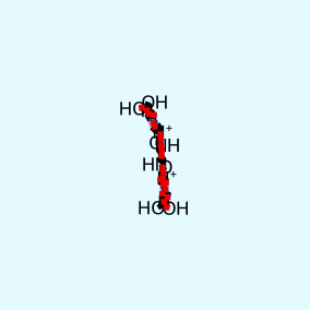 C[N+]1(CCCC(=O)NCCSSCCNC(=O)CCC[n+]2ccc(/C=C/c3ccc(N(CCO)CCO)cc3)cc2)C=CC(/C=C/c2ccc(N(CCO)CCO)cc2)=CC1